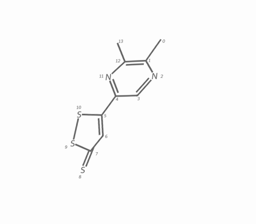 Cc1ncc(-c2cc(=S)ss2)nc1C